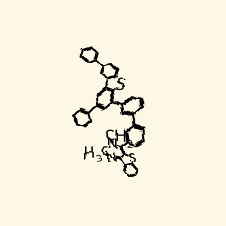 C=N/C(=C1/Sc2ccccc2/C1=N/C)c1cccc(-c2cccc(-c3cc(-c4ccccc4)cc4c3sc3ccc(-c5ccccc5)cc34)c2)c1